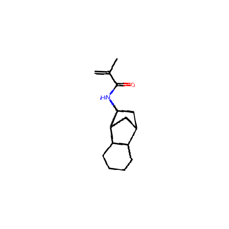 C=C(C)C(=O)NC1CC2CC1C1CCCCC21